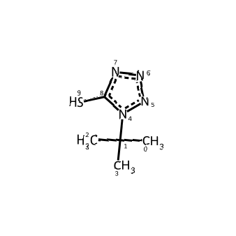 CC(C)(C)n1nnnc1S